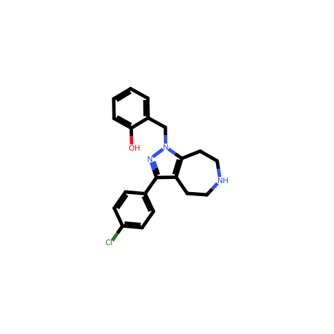 Oc1ccccc1Cn1nc(-c2ccc(Cl)cc2)c2c1CCNCC2